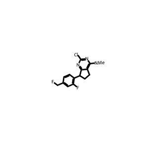 CNc1nc(Cl)nc2c1CCC2c1ccc(CF)cc1F